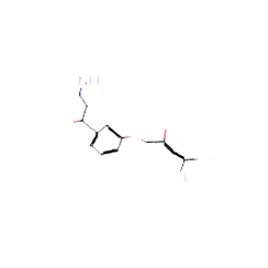 CC(C)=C=C(O)COc1cccc(C(O)CCN)c1